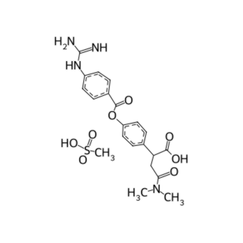 CN(C)C(=O)CC(C(=O)O)c1ccc(OC(=O)c2ccc(NC(=N)N)cc2)cc1.CS(=O)(=O)O